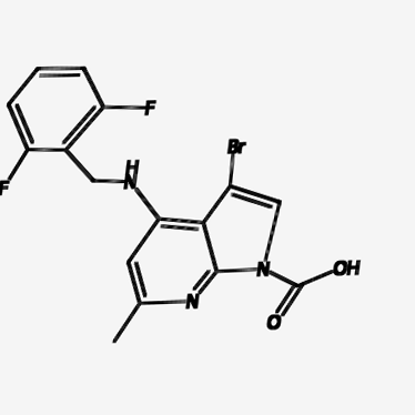 Cc1cc(NCc2c(F)cccc2F)c2c(Br)cn(C(=O)O)c2n1